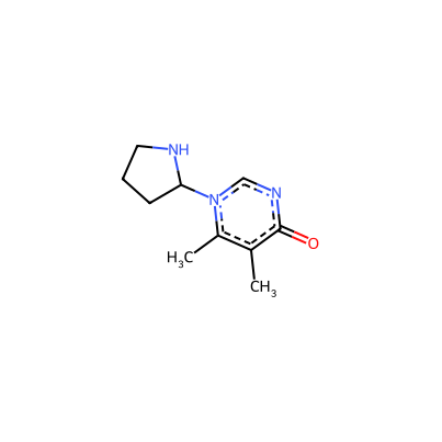 Cc1c(C)n(C2CCCN2)cnc1=O